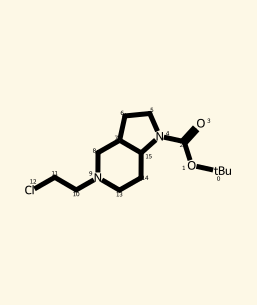 CC(C)(C)OC(=O)N1CCC2CN(CCCl)CCC21